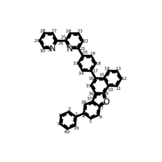 c1ccc(-c2ccc3oc4c5ccccc5c(-c5ccc(-c6cccc(-c7ccccn7)n6)cc5)cc4c3c2)cc1